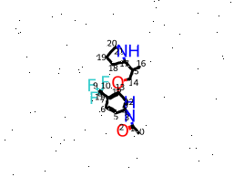 CC(=O)Nc1ccc(C(F)(F)F)c(OCC(C)C2CCCN2)c1